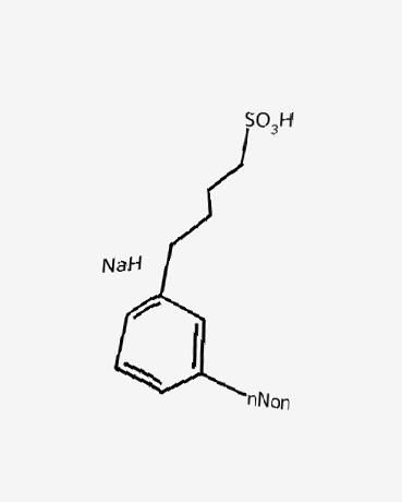 CCCCCCCCCc1cccc(CCCCS(=O)(=O)O)c1.[NaH]